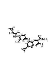 COc1cc2nc(C3CC3)cc(Oc3ccc(NC(=O)NC4CC4)c(Cl)c3)c2cc1C(N)=O